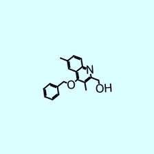 Cc1ccc2nc(CO)c(C)c(OCc3ccccc3)c2c1